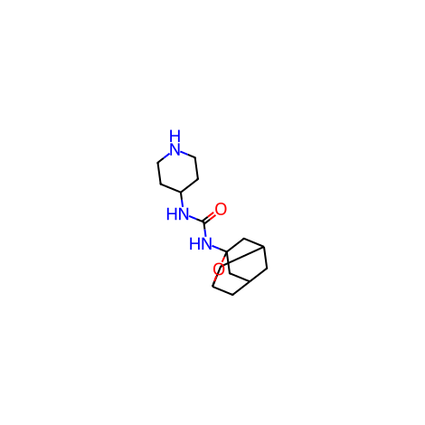 O=C(NC1CCNCC1)NC12CC3CC(CC(C3)O1)C2